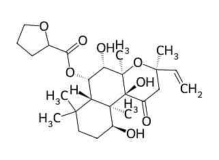 C=C[C@@]1(C)CC(=O)[C@]2(O)[C@@]3(C)[C@@H](O)CCC(C)(C)[C@@H]3[C@H](OC(=O)C3CCCO3)[C@H](O)[C@@]2(C)O1